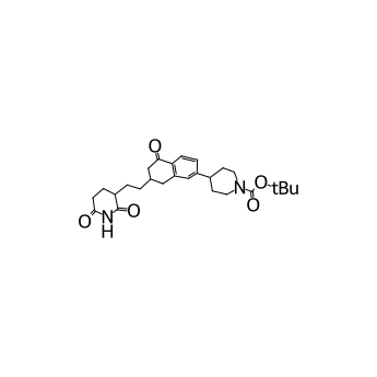 CC(C)(C)OC(=O)N1CCC(c2ccc3c(c2)CC(CCC2CCC(=O)NC2=O)CC3=O)CC1